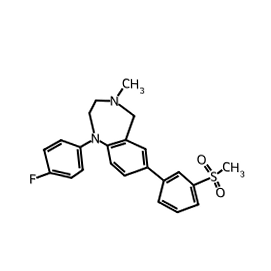 CN1CCN(c2ccc(F)cc2)c2ccc(-c3cccc(S(C)(=O)=O)c3)cc2C1